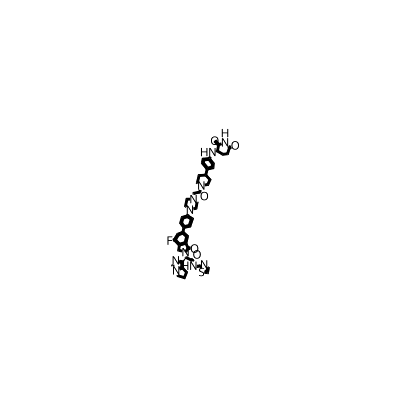 O=C1CC[C@@H](Nc2ccc(C3CCN(C(=O)CN4CCN(c5ccc(-c6cc(F)c7c(c6)C(=O)N([C@@H](C(=O)Nc6nccs6)c6ncn8c6CCC8)C7)cc5)CC4)CC3)cc2)C(=O)N1